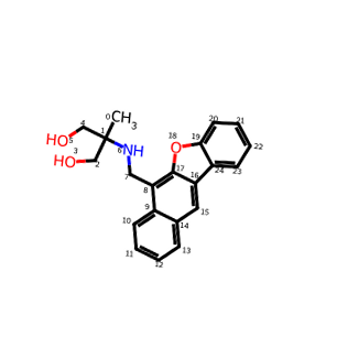 CC(CO)(CO)NCc1c2ccccc2cc2c1oc1ccccc12